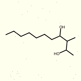 CCCCCCCC(O)C(C)C(C)O